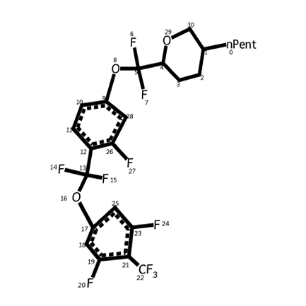 CCCCCC1CCC(C(F)(F)Oc2ccc(C(F)(F)Oc3cc(F)c(C(F)(F)F)c(F)c3)c(F)c2)OC1